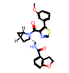 COc1cccc(-c2scnc2C(=O)N2[C@H](CNC(=O)c3cccc4c3CCO4)C[C@@H]3C[C@@H]32)c1